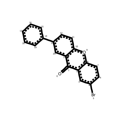 O=c1c2cc(Br)ccc2oc2ccc(-c3ccccc3)cc12